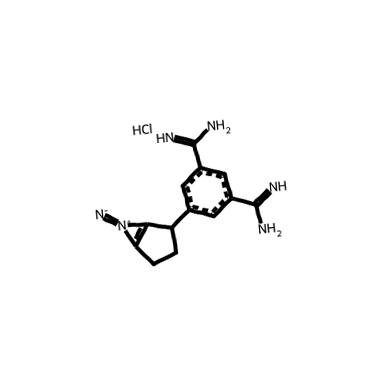 Cl.[N-]=[N+]1C2=C1C(c1cc(C(=N)N)cc(C(=N)N)c1)CC2